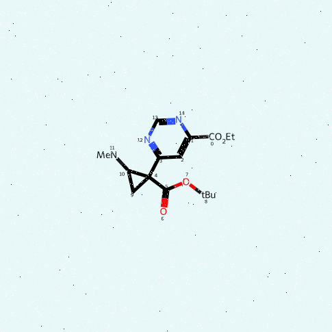 CCOC(=O)c1cc(C2(C(=O)OC(C)(C)C)CC2NC)ncn1